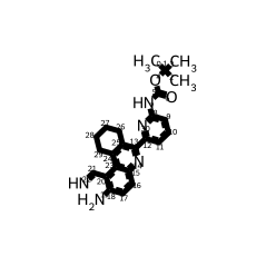 CC(C)(C)OC(=O)Nc1cccc(-c2nc3ccc(N)c(C=N)c3c3c2CCCC3)n1